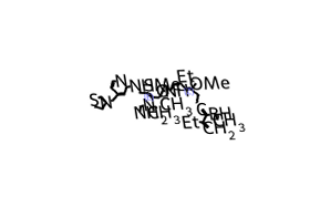 C=C(CC)C(BC)=C=CC/C(=C/C(CC)CNOC(C)/C(=C(/CNc1cc(CN2CCSC2)ccn1)SC)N(C)CN)OC